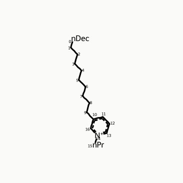 CCCCCCCCCCCCCCCCCCCc1ccc[n+](CCC)c1